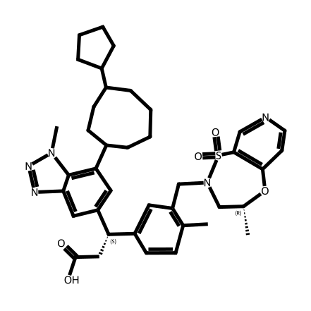 Cc1ccc([C@H](CC(=O)O)c2cc(C3CCCCC(C4CCCC4)CC3)c3c(c2)nnn3C)cc1CN1C[C@@H](C)Oc2ccncc2S1(=O)=O